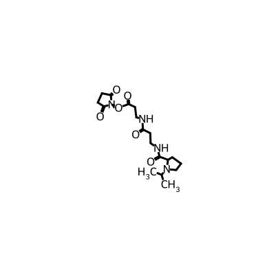 CC(C)N1CCCC1C(=O)NCCC(=O)NCCC(=O)ON1C(=O)CCC1=O